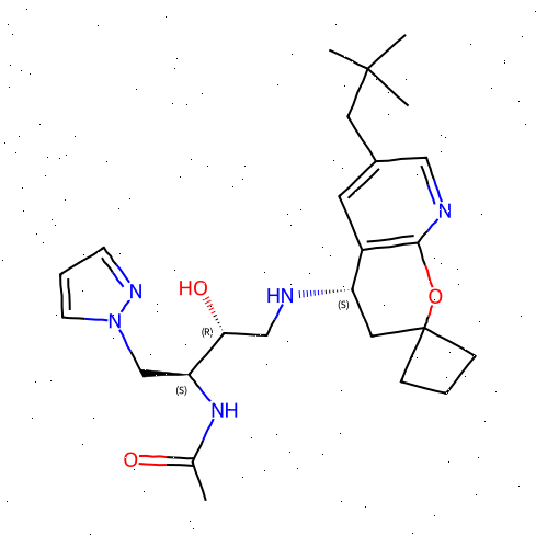 CC(=O)N[C@@H](Cn1cccn1)[C@H](O)CN[C@H]1CC2(CCC2)Oc2ncc(CC(C)(C)C)cc21